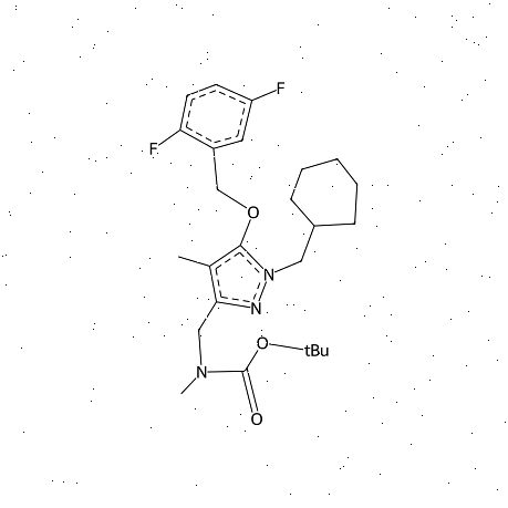 Cc1c(CN(C)C(=O)OC(C)(C)C)nn(CC2CCCCC2)c1OCc1cc(F)ccc1F